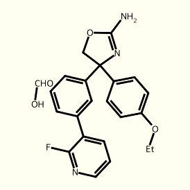 CCOc1ccc(C2(c3cccc(-c4cccnc4F)c3)COC(N)=N2)cc1.O=CO